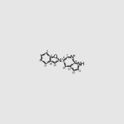 c1ccc2o[n+](-c3cnc4[nH]ccc4c3)cc2c1